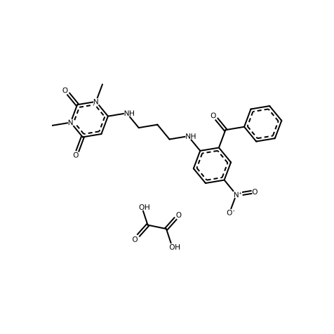 Cn1c(NCCCNc2ccc([N+](=O)[O-])cc2C(=O)c2ccccc2)cc(=O)n(C)c1=O.O=C(O)C(=O)O